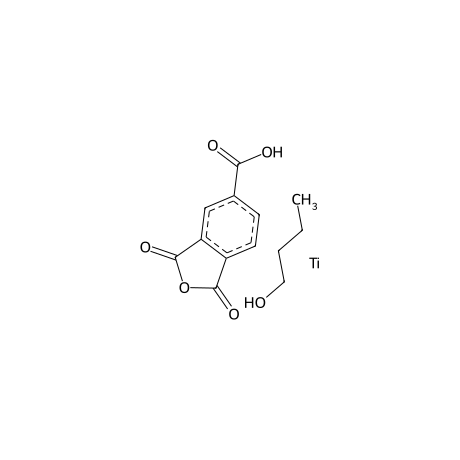 CCCCO.O=C(O)c1ccc2c(c1)C(=O)OC2=O.[Ti]